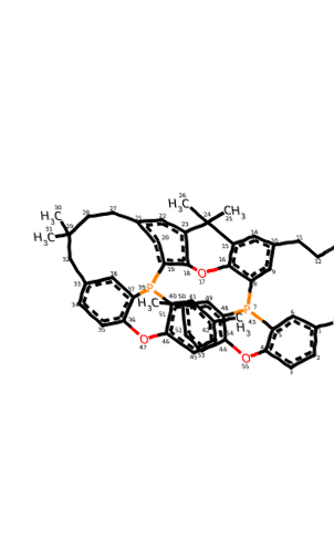 Cc1ccc2c(c1)P(c1cc(CCC(C)(C)C)cc3c1Oc1c4cc(cc1C3(C)C)CCC(C)(C)Cc1ccc3c(c1)P4c1cc(C)ccc1O3)c1cc(C)ccc1O2